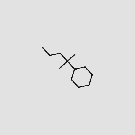 CCCC(C)(C)[C]1CCCCC1